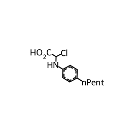 CCCCCc1ccc(NC(Cl)C(=O)O)cc1